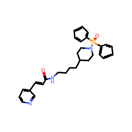 O=C(C=Cc1cccnc1)NCCCCC1CCN(P(=O)(c2ccccc2)c2ccccc2)CC1